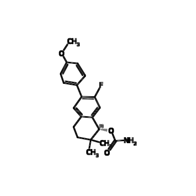 COc1ccc(-c2cc3c(cc2F)[C@H](OC(N)=O)C(C)(C)CC3)cc1